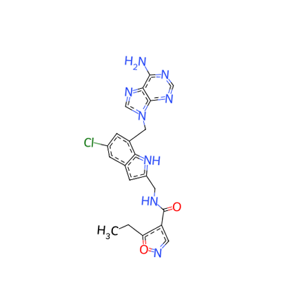 CCc1oncc1C(=O)NCc1cc2cc(Cl)cc(Cn3cnc4c(N)ncnc43)c2[nH]1